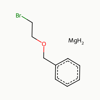 BrCCOCc1ccccc1.[MgH2]